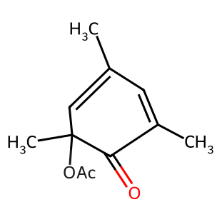 CC(=O)OC1(C)C=C(C)C=C(C)C1=O